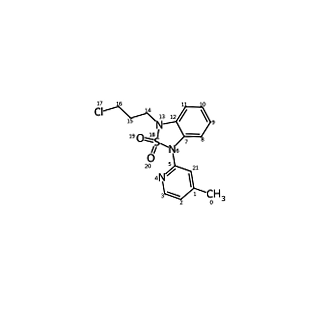 Cc1ccnc(N2c3ccccc3N(CCCCl)S2(=O)=O)c1